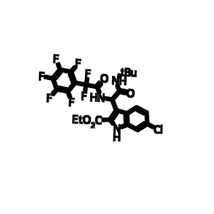 CCOC(=O)c1[nH]c2cc(Cl)ccc2c1C(NC(=O)C(F)(F)c1c(F)c(F)c(F)c(F)c1F)C(=O)NC(C)(C)C